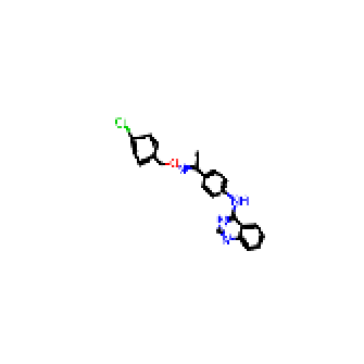 CC(=NOCc1ccc(Cl)cc1)c1ccc(Nc2ncnc3ccccc23)cc1